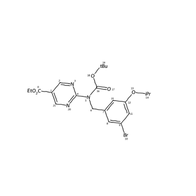 CCOC(=O)c1cnc(N(Cc2cc(Br)cc(OC(C)C)c2)C(=O)OC(C)(C)C)nc1